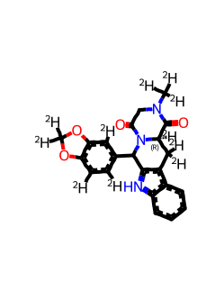 [2H]c1c([2H])c(C2c3[nH]c4ccccc4c3C([2H])([2H])[C@]3([2H])C(=O)N(C([2H])([2H])[2H])CC(=O)N23)c([2H])c2c1OC([2H])([2H])O2